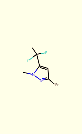 CC(C)c1cc(C(C)(F)F)n(C)n1